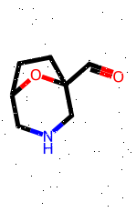 O=[C]C12CCC(CNC1)O2